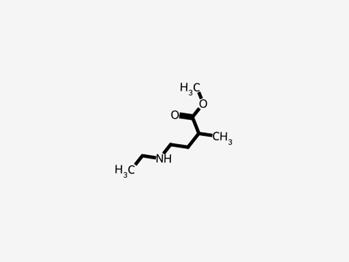 CCNCCC(C)C(=O)OC